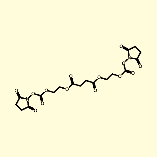 O=C(CCC(=O)OCCOC(=O)ON1C(=O)CCC1=O)OCCOC(=O)ON1C(=O)CCC1=O